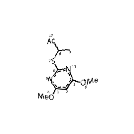 COc1cc(OC)nc(SC(C)C(C)=O)n1